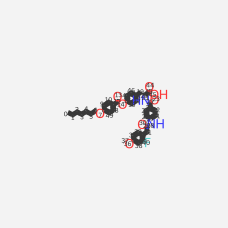 CCCCCCCOc1ccc(C(=O)Oc2ccc(C[C@H](NC(=O)c3ccc(NC(=O)Cc4ccc(OC)cc4F)cc3)C(=O)O)cc2)cc1